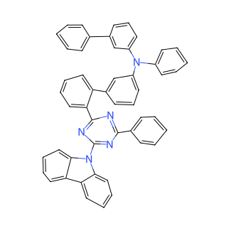 c1ccc(-c2cccc(N(c3ccccc3)c3cccc(-c4ccccc4-c4nc(-c5ccccc5)nc(-n5c6ccccc6c6ccccc65)n4)c3)c2)cc1